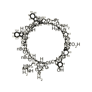 CCCC[C@H]1C(=O)N(C)[C@@H](CCCC)C(=O)N[C@@H](CCCNC(=N)N)C(=O)N[C@H](C(=O)NCC(N)=O)CSCC(=O)N[C@@H](Cc2ccc(O)cc2)C(=O)N2CCCC[C@H]2C(=O)N[C@@H](CC(=O)O)C(=O)N2CCCC2C(=O)N[C@@H](CN)C(=O)N[C@@H](CC(C)C)C(=O)N2CCC[C@H]2C(=O)N[C@@H](Cc2c[nH]c3ccccc23)C(=O)N[C@@H](CO)C(=O)N[C@@H](Cc2c[nH]c3ccccc23)C(=O)N1C